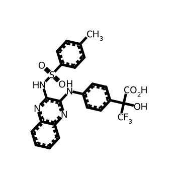 Cc1ccc(S(=O)(=O)Nc2nc3ccccc3nc2Nc2ccc(C(O)(C(=O)O)C(F)(F)F)cc2)cc1